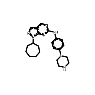 c1cc(N2CCNCC2)ccc1Nc1ncc2cnn(C3CCCCCC3)c2n1